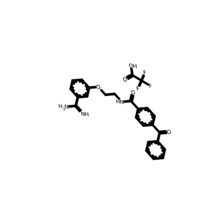 N=C(N)c1cccc(OCCNC(=O)c2ccc(C(=O)c3ccccc3)cc2)c1.O=C(O)C(F)(F)F